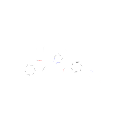 COC(=O)c1cc(Cl)ccc1C=CCn1cc(C)cc1C(=O)c1ccc(CN2CCOCC2)cc1